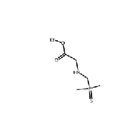 CCOC(=O)CNCP(C)(C)=S